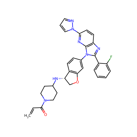 C=CC(=O)N1CCC(N[C@H]2COc3cc(-n4c(-c5ccccc5F)nc5ccc(-n6cccn6)nc54)ccc32)CC1